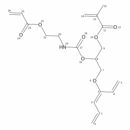 C=C/C=C(\C=C)OCC(COC(=O)C(=C)C)OC(=O)NCCOC(=O)C=C